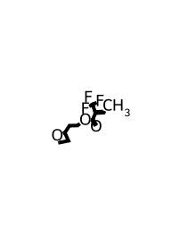 CC=C(C(=O)OCCC1CCO1)C(F)(F)F